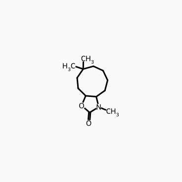 CN1C(=O)OC2CCC(C)(C)CCCCC21